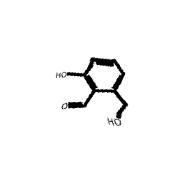 O=Cc1c(O)cccc1CO